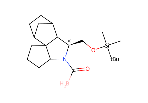 BC(=O)N1C2CCCC23C2CCC(C2)C3[C@H]1CO[Si](C)(C)C(C)(C)C